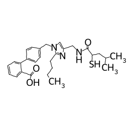 CCCCc1nc(CNC(=O)C(S)CC(C)C)cn1Cc1ccc(-c2ccccc2C(=O)O)cc1